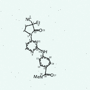 CC[C@]1(C#N)CCN(c2ccnc(Nc3ccc(C(=O)NC)cc3)n2)C1=O